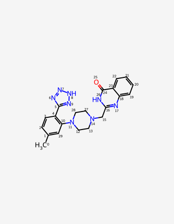 Cc1ccc(-c2nn[nH]n2)c(N2CCN(Cc3nc4ccccc4c(=O)[nH]3)CC2)c1